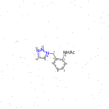 CC(=O)Nc1ccccc1[CH]n1ccnn1